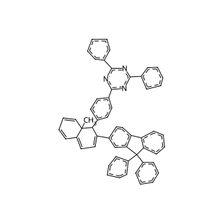 CC12C=CC=CC1=CC=C(c1ccc3c(c1)C(c1ccccc1)(c1ccccc1)c1ccccc1-3)C2c1ccc(-c2nc(-c3ccccc3)nc(-c3ccccc3)n2)cc1